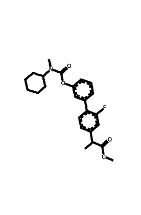 COC(=O)C(C)c1ccc(-c2cccc(OC(=O)N(C)C3CCCCC3)c2)c(F)c1